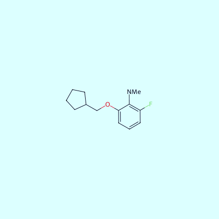 CNc1c(F)cccc1OCC1CCCC1